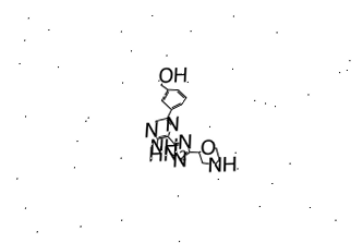 Nc1ncc(-c2cccc(CO)c2)nc1-c1nc(C2CNCCO2)n[nH]1